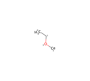 CC[O][Ce]